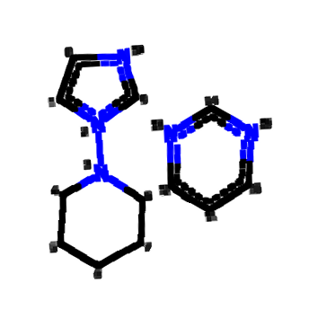 c1cn(N2CCCCC2)cn1.c1cncnc1